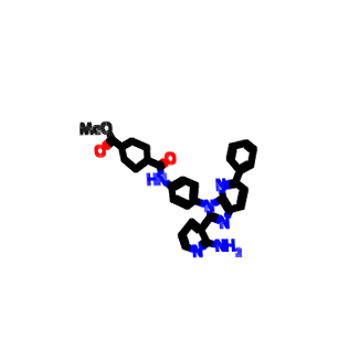 COC(=O)C1CCC(C(=O)Nc2ccc(-n3c(-c4cccnc4N)nc4ccc(-c5ccccc5)nc43)cc2)CC1